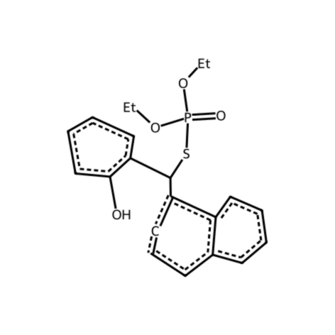 CCOP(=O)(OCC)SC(c1ccccc1O)c1cccc2ccccc12